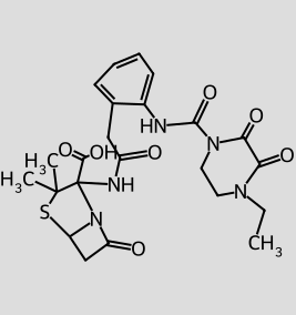 CCN1CCN(C(=O)Nc2ccccc2CC(=O)NC2(C(=O)O)N3C(=O)CC3SC2(C)C)C(=O)C1=O